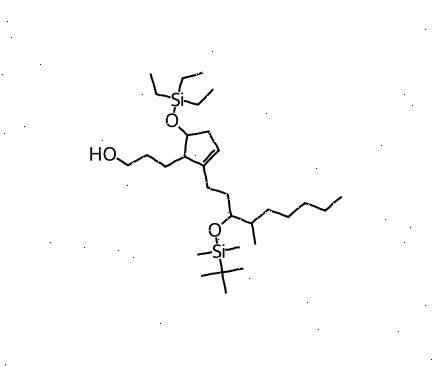 CCCCCC(C)C(CCC1=CCC(O[Si](CC)(CC)CC)C1CCCO)O[Si](C)(C)C(C)(C)C